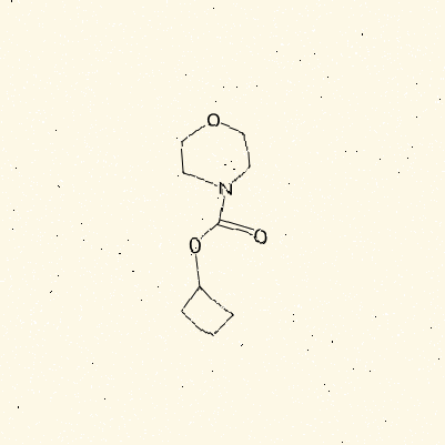 O=C(OC1CCC1)N1CCOCC1